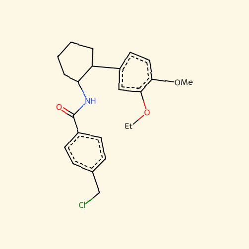 CCOc1cc(C2CCCCC2NC(=O)c2ccc(CCl)cc2)ccc1OC